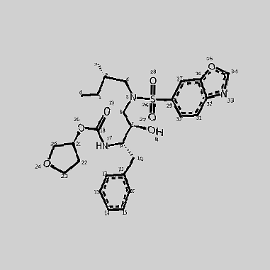 CC[C@H](C)CN(C[C@@H](O)[C@H](Cc1ccccc1)NC(=O)O[C@H]1CCOC1)S(=O)(=O)c1ccc2ncoc2c1